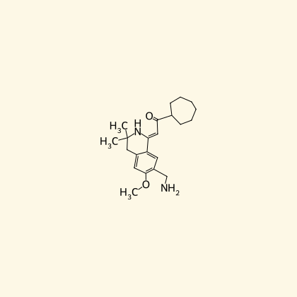 COc1cc2c(cc1CN)C(=CC(=O)C1CCCCCC1)NC(C)(C)C2